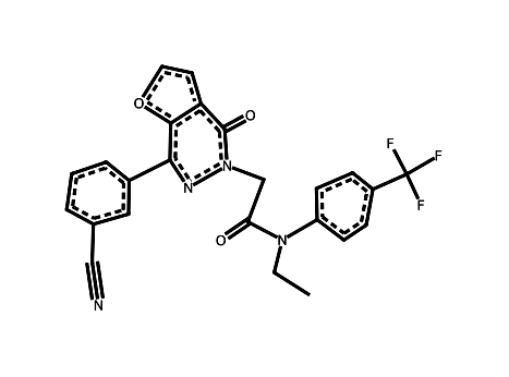 CCN(C(=O)Cn1nc(-c2cccc(C#N)c2)c2occc2c1=O)c1ccc(C(F)(F)F)cc1